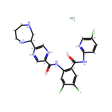 Cl.O=C(Nc1cc(F)c(F)cc1C(=O)Nc1ccc(Cl)cn1)c1cnc(C2CNCCCN2)cn1